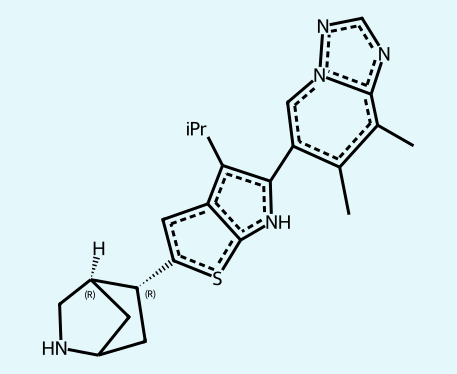 Cc1c(-c2[nH]c3sc([C@@H]4CC5C[C@H]4CN5)cc3c2C(C)C)cn2ncnc2c1C